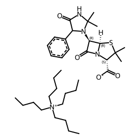 CC1(C)S[C@@H]2[C@H](N3C(c4ccccc4)C(=O)NC3(C)C)C(=O)N2[C@H]1C(=O)[O-].CCCC[N+](CCCC)(CCCC)CCCC